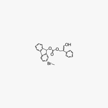 CBr.O=C(OCC(=CO)c1ccccc1)OC1c2ccccc2-c2ccccc21